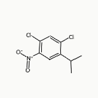 CC(C)c1cc([N+](=O)[O-])c(Cl)cc1Cl